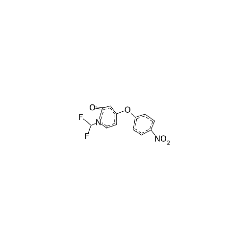 O=c1cc(Oc2ccc([N+](=O)[O-])cc2)ccn1C(F)F